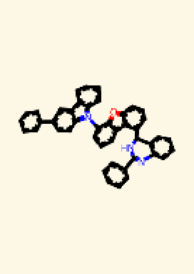 c1ccc(C2=Nc3ccccc3C(c3cccc4oc5c(-n6c7ccccc7c7cc(-c8ccccc8)ccc76)cccc5c34)N2)cc1